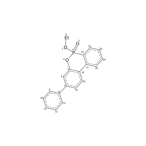 CCOP1(=O)Oc2cc(-c3ccccc3)ccc2-c2ccccc21